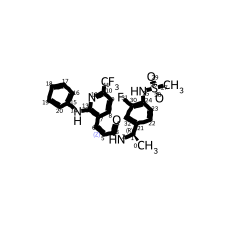 C[C@@H](NC(=O)/C=C\c1ccc(C(F)(F)F)nc1Nc1ccccc1)c1ccc(NS(C)(=O)=O)c(F)c1